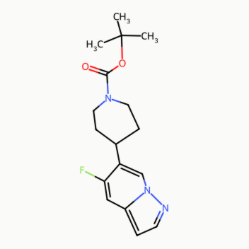 CC(C)(C)OC(=O)N1CCC(c2cn3nccc3cc2F)CC1